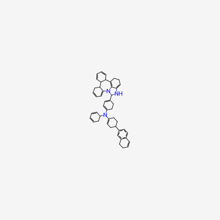 C1=CCC2C(=C1)N1C3=C(CCC=C3NC1C1=CC=C(N(C3=CCC(c4ccc5c(c4)CCC=C5)CC3)C3C=CC=CC3)CC1)C1C=CC=CC12